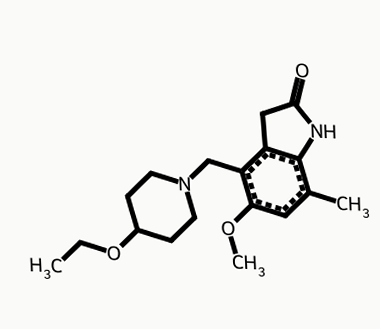 CCOC1CCN(Cc2c(OC)cc(C)c3c2CC(=O)N3)CC1